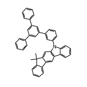 CC1(C)c2ccccc2-c2cc3c4ccccc4n(-c4cccc(-c5cc(-c6ccccc6)cc(-c6ccccc6)c5)c4)c3cc21